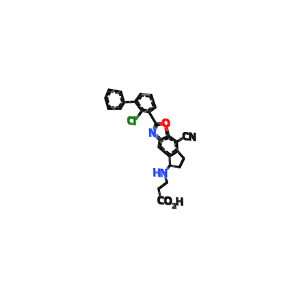 N#Cc1c2c(cc3nc(-c4cccc(-c5ccccc5)c4Cl)oc13)C(NCCC(=O)O)CC2